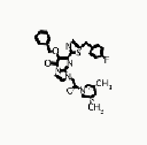 C[C@@H]1C[C@@H](C)CN(C(=O)Cn2ccn3c(=O)c(OCc4ccccc4)c(-c4ncc(Cc5ccc(F)cc5)s4)nc23)C1